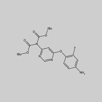 CC(C)(C)OC(=O)N(C(=O)OC(C)(C)C)c1cc(Oc2ccc(N)cc2F)ncn1